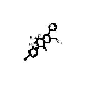 CCc1cc2c(cc1-c1cccnc1)C(C)(C)c1[nH]c3cc(C#N)ccc3c1C2=O